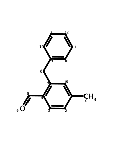 Cc1ccc(C=O)c(Cc2ccccc2)c1